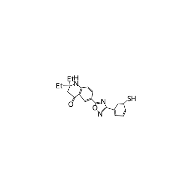 CCC1(CC)CC(=O)c2cc(-c3nc(-c4cccc(S)c4)no3)ccc2N1